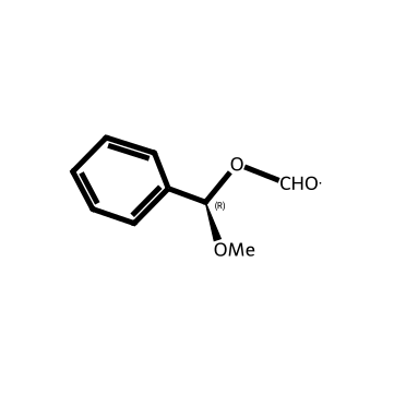 CO[C@H](O[C]=O)c1ccccc1